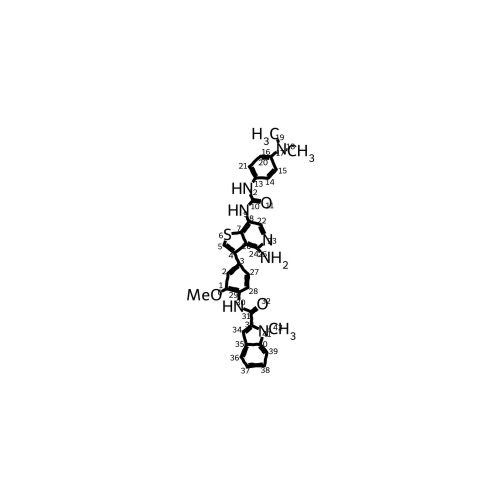 COc1cc(-c2csc3c(NC(=O)Nc4ccc(N(C)C)cc4)cnc(N)c23)ccc1NC(=O)c1cc2ccccc2n1C